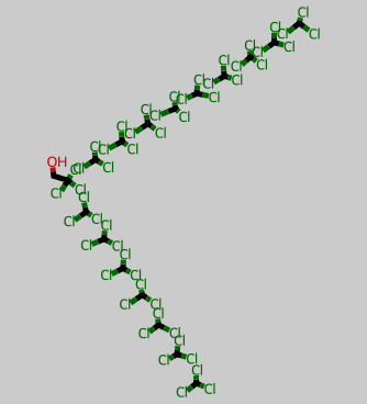 ClC(Cl)Cl.ClC(Cl)Cl.ClC(Cl)Cl.ClC(Cl)Cl.ClC(Cl)Cl.ClC(Cl)Cl.ClC(Cl)Cl.ClC(Cl)Cl.ClC(Cl)Cl.ClC(Cl)Cl.ClC(Cl)Cl.ClC(Cl)Cl.ClC(Cl)Cl.ClC(Cl)Cl.ClC(Cl)Cl.ClC(Cl)Cl.OCC(Cl)(Cl)Cl